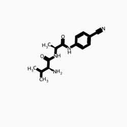 CC(C)[C@H](N)C(=O)N[C@@H](C)C(=O)Nc1ccc(C#N)cc1